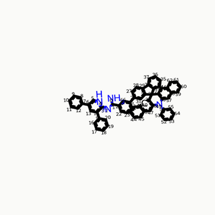 NC(/N=c1\[nH]cc(-c2ccccc2)cc1-c1ccccc1)c1cccc(-c2ccc3c(c2)C2(c4ccccc4-3)c3cc4ccccc4cc3N(c3ccccc3)c3cc4ccccc4cc32)c1